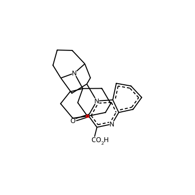 O=C(O)c1nc2ccccc2n(C2CC3CCCC(C2)N3C23CCCC(CCC2)C3)c1=O